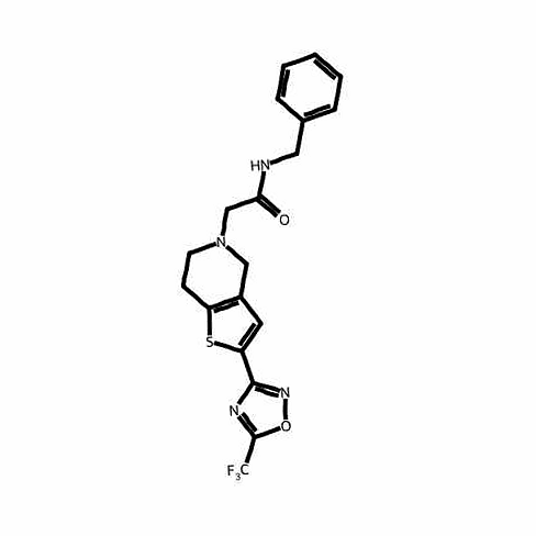 O=C(CN1CCc2sc(-c3noc(C(F)(F)F)n3)cc2C1)NCc1ccccc1